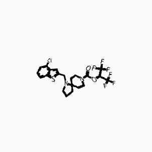 O=C(OC(C(F)(F)F)C(F)(F)F)N1CCC2(CCCN2Cc2cc3c(Cl)cccc3s2)CC1